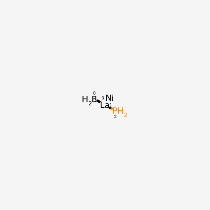 [BH2][La][PH2].[Ni]